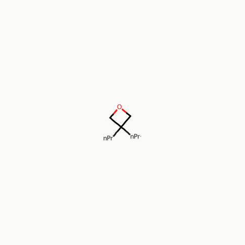 CC[CH]C1(CCC)COC1